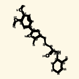 COc1ccc(-c2nc(CCCC(=O)NC3CCCCC3C)c(C)o2)cc1OC